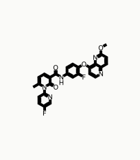 COc1ccc2nccc(Oc3ccc(NC(=O)c4ccc(C)n(-c5ccc(F)cn5)c4=O)cc3F)c2n1